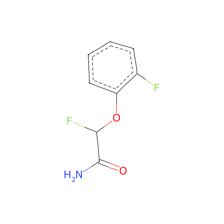 NC(=O)C(F)Oc1ccccc1F